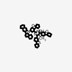 CC[C@H]1C(c2ccc3c(c2)sc2ccccc23)N=C(c2cc(-n3c4cc5ccccc5cc4c4ccc5ccccc5c43)cc3oc4ccccc4c23)NC1(C)c1ccc2c(c1)oc1ccccc12